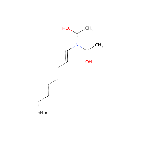 CCCCCCCCCCCCCCC=CN(C(C)O)C(C)O